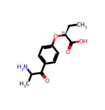 CC[C@H](Oc1ccc(C(=O)C(C)N)cc1)C(=O)O